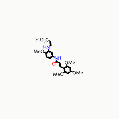 CCOC(=O)/C=C\Nc1cc(NC(=O)/C=C/c2c(OC)cc(OC)cc2OC)ccc1OC